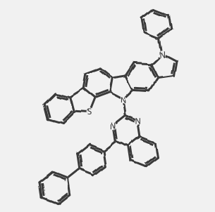 c1ccc(-c2ccc(-c3nc(-n4c5cc6ccn(-c7ccccc7)c6cc5c5ccc6c7ccccc7sc6c54)nc4ccccc34)cc2)cc1